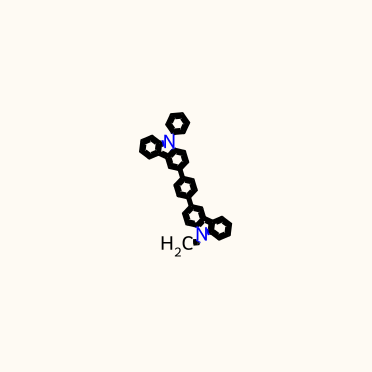 C=Cn1c2ccccc2c2cc(-c3ccc(-c4ccc5c(c4)c4ccccc4n5-c4ccccc4)cc3)ccc21